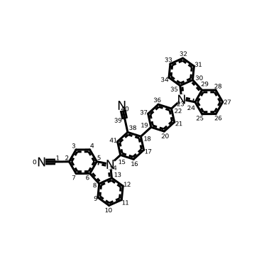 N#Cc1ccc2c(c1)c1ccccc1n2-c1ccc(-c2ccc(-n3c4ccccc4c4ccccc43)cc2)c(C#N)c1